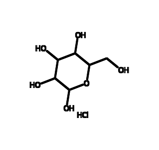 Cl.OCC1OC(O)C(O)C(O)C1O